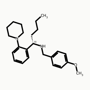 CCCC[C@H](NCc1ccc(OC)cc1)c1ccccc1N1CCCCC1